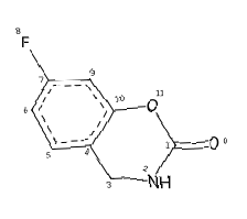 O=C1NCc2ccc(F)cc2O1